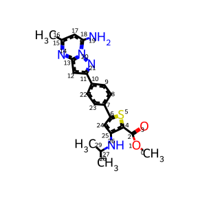 COC(=O)c1sc(-c2ccc(-c3cc4nc(C)cc(N)n4n3)cc2)cc1NC(C)C